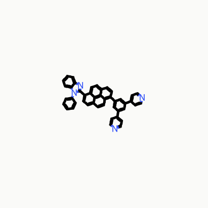 c1ccc(-n2c(-c3ccc4ccc5c(-c6cc(-c7ccncc7)cc(-c7ccncc7)c6)ccc6ccc3c4c65)nc3ccccc32)cc1